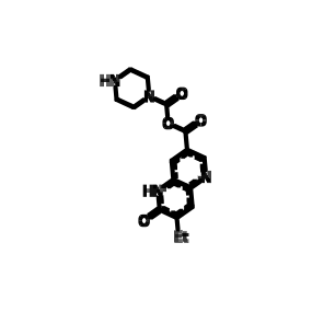 CCc1cc2ncc(C(=O)OC(=O)N3CCNCC3)cc2[nH]c1=O